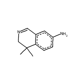 CC1(C)CN=Cc2cc(N)ccc21